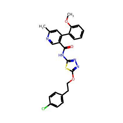 COc1ccccc1-c1cc(C)ncc1C(=O)Nc1nnc(OCCc2ccc(Cl)cc2)s1